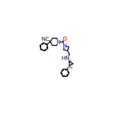 N#CC1(c2ccccc2)CCN(C(=O)N2CC(CN[C@@H]3C[C@H]3c3ccccc3)C2)CC1